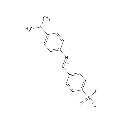 CN(C)c1ccc(/N=N/c2ccc(S(=O)(=O)F)cc2)cc1